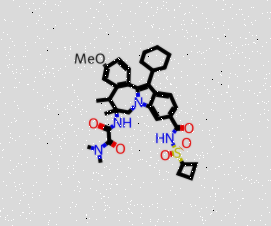 COc1ccc2c(c1)C(C)C(C)(NC(=O)C(=O)N(C)C)Cn1c-2c(C2CCCCC2)c2ccc(C(=O)NS(=O)(=O)C3CCC3)cc21